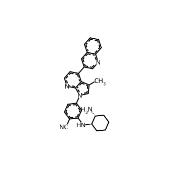 Cc1cn(-c2ccc(C#N)c(N[C@@H]3CCCC[C@H]3N)c2)c2nccc(-c3cnc4ccccc4c3)c12